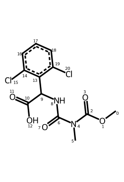 COC(=O)N(C)C(=O)NC(C(=O)O)c1c(Cl)cccc1Cl